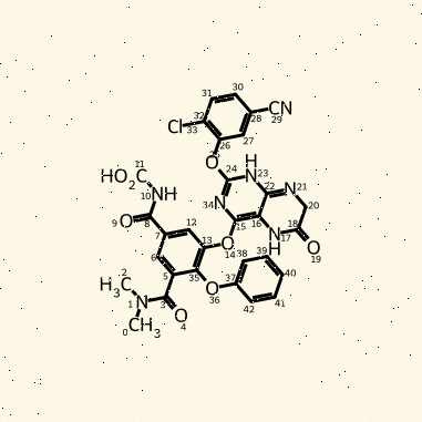 CN(C)C(=O)c1cc(C(=O)NC(=O)O)cc(OC2=C3NC(=O)CN=C3NC(Oc3cc(C#N)ccc3Cl)=N2)c1Oc1ccccc1